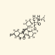 CC(C)(C(=O)NC1CC1)c1cccc(-c2nn(-c3ccc(F)cc3F)c(=O)c3ccccc23)c1